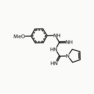 COc1ccc(NC(=N)NC(=N)N2CC=CC2)cc1